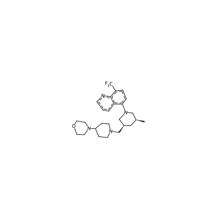 C[C@H]1C[C@@H](CN2CCC(N3CCOCC3)CC2)CN(c2ccc(C(F)(F)F)c3ncccc23)C1